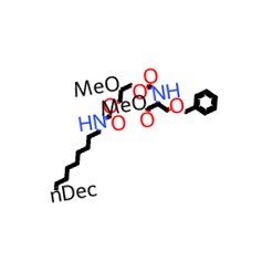 CCCCCCCCCCCCCCCCCCNC(=O)OCC(COC(=O)NC(COCc1ccccc1)C(=O)OC)OC